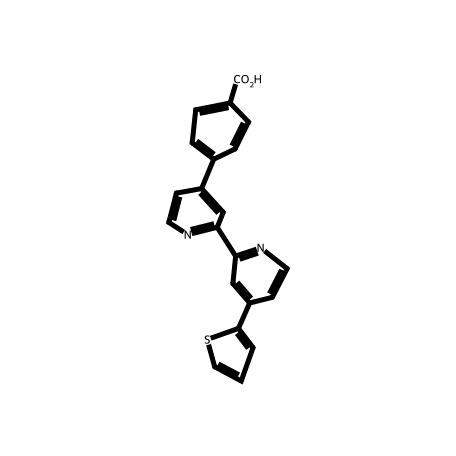 O=C(O)c1ccc(-c2ccnc(-c3cc(-c4cccs4)ccn3)c2)cc1